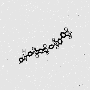 Cc1ccc2[nH]c(-c3ccc(-n4c(=O)c5cc6c(=O)n(-c7ccc(N8C(=O)c9ccc(-c%10ccc%11c(c%10)C(=O)N(C)C%11=O)cc9C8=O)cc7)c(=O)c6cc5c4=O)cc3)nc2c1